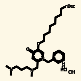 CCCCCCCCCCCCCCCCCCOc1cn(Cc2ccccc2)c(CN(C)CCCN(C)C)cc1=O.Cl.Cl.Cl